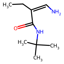 CCC(=CN)C(=O)NC(C)(C)C